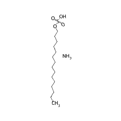 CCCCCCCCCCCCCCCOS(=O)(=O)O.N